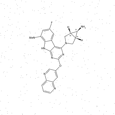 CNc1cc(F)cc2c1[nH]c1nc(Oc3cnc4cccnc4c3)nc(N3C[C@@H]4[C@@H](N)[C@@H]4C3)c12